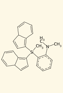 CN(C)c1ccccc1[Si](C)(C1=C2C=CC=CC2C=C1)C1=C2C=CC=CC2C=C1